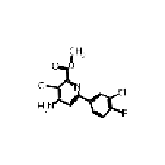 COC(=O)c1nc(-c2ccc(F)c(Cl)c2)cc(N)c1Cl